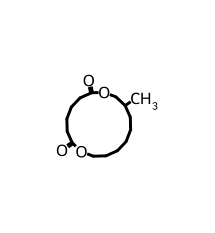 CC1CCCCCCOC(=O)CCCCC(=O)OC1